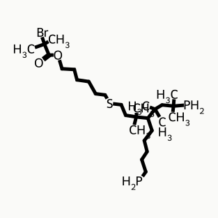 CC(C)(P)CC(C)(C)C(CCCCCP)C(C)(C)CCSCCCCCCOC(=O)C(C)(C)Br